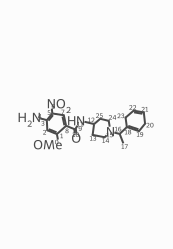 COc1cc(N)c([N+](=O)[O-])cc1C(=O)NC1CCN(C(C)C2=CCC=CC2)CC1